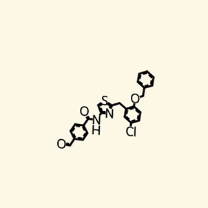 O=Cc1ccc(C(=O)Nc2csc(Cc3cc(Cl)ccc3OCc3ccccc3)n2)cc1